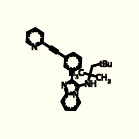 CC(C)(C)CC(C)(C)Nc1c(-c2cccc(C#Cc3ccccn3)c2)nc2ccccn12